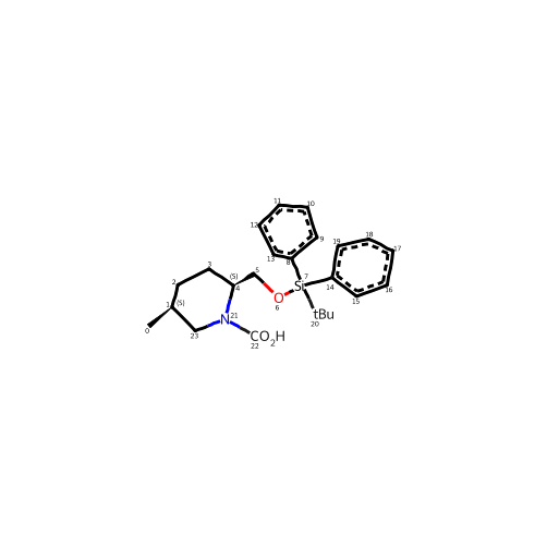 C[C@H]1CC[C@@H](CO[Si](c2ccccc2)(c2ccccc2)C(C)(C)C)N(C(=O)O)C1